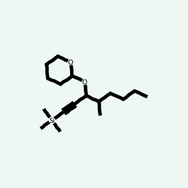 CCCCC(C)C(C#C[Si](C)(C)C)OC1CCCCO1